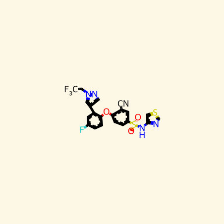 N#Cc1cc(S(=O)(=O)Nc2cscn2)ccc1Oc1ccc(F)cc1-c1cnn(CC(F)(F)F)c1